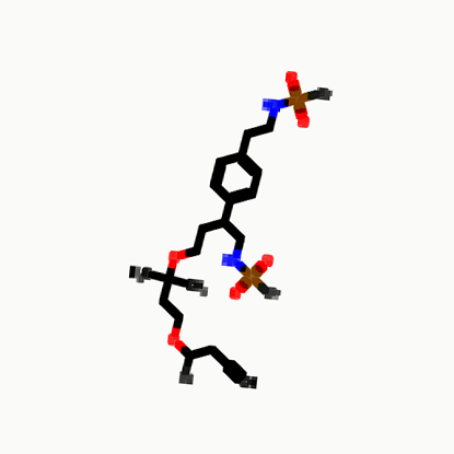 C#CCC(CC)OCCC(C)(C)OCCC(CNS(=O)(=O)C(C)C)c1ccc(CCNS(=O)(=O)C(C)C)cc1